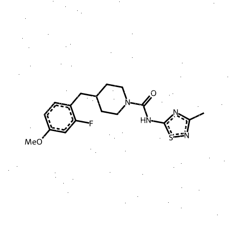 COc1ccc(CC2CCN(C(=O)Nc3nc(C)ns3)CC2)c(F)c1